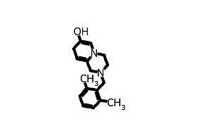 Cc1cccc(C)c1CN1CCN2C=C(O)CC=C2C1